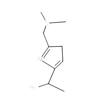 CN(C)CC1=NC(C(O)I)=CC1